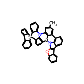 Cc1cc2c3c(c1)N1c4ccccc4[Si]4(c5ccccc5-c5ccccc54)c4cccc(c41)B3n1c3oc4ccccc4c3c3cccc-2c31